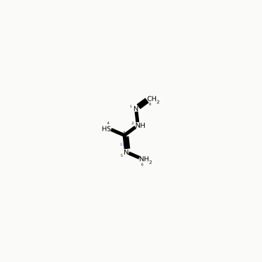 C=NN/C(S)=N\N